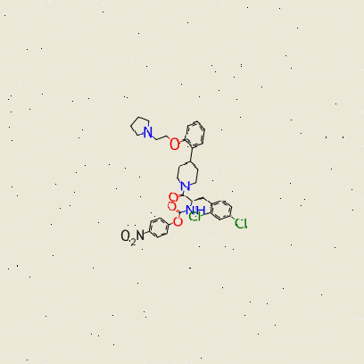 O=C(N[C@H](Cc1ccc(Cl)cc1Cl)C(=O)N1CCC(c2ccccc2OCCN2CCCC2)CC1)Oc1ccc([N+](=O)[O-])cc1